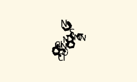 O=C(Nc1cccc2c(-n3ccnc3)c(Sc3ccncc3)cnc12)c1c(Cl)cccc1Cl